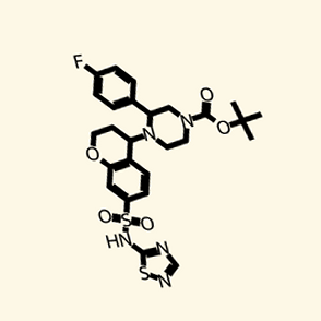 CC(C)(C)OC(=O)N1CCN(C2CCOc3cc(S(=O)(=O)Nc4ncns4)ccc32)C(c2ccc(F)cc2)C1